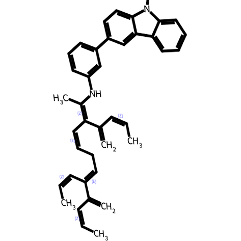 C=C(/C=C\C)C(/C=C\C/C=C(\C=C/C)C(=C)/C=C\C)=C(/C)Nc1cccc(-c2ccc3c(c2)c2ccccc2n3C(C)(C)C)c1